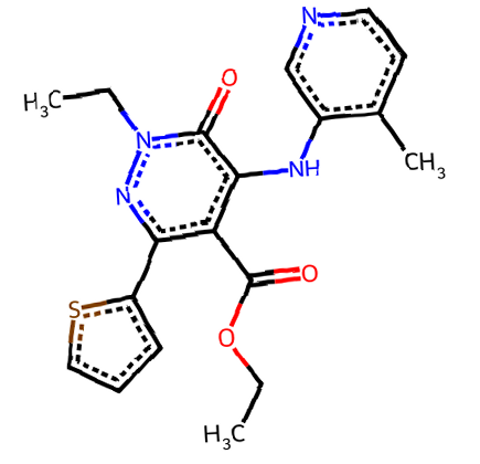 CCOC(=O)c1c(-c2cccs2)nn(CC)c(=O)c1Nc1cnccc1C